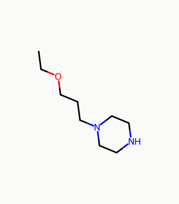 CCOCCCN1CCNCC1